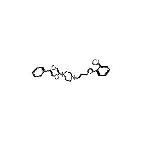 Clc1ccccc1OCCCN1CCN(C2=COC(C3=CC=CCC3)=CO2)CC1